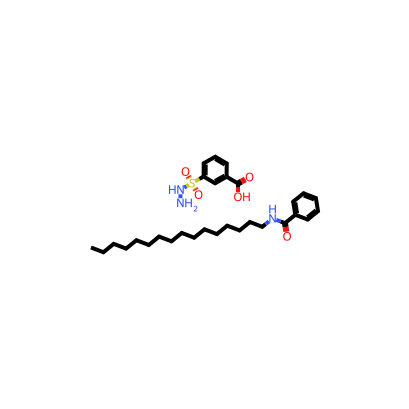 CCCCCCCCCCCCCCCCNC(=O)c1ccccc1.NNS(=O)(=O)c1cccc(C(=O)O)c1